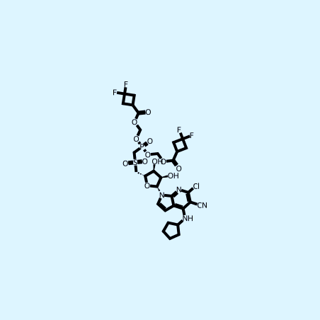 N#Cc1c(Cl)nc2c(ccn2[C@@H]2O[C@H](CS(=O)(=O)CP(=O)(OCOC(=O)C3CC(F)(F)C3)OCOC(=O)C3CC(F)(F)C3)[C@@H](O)[C@H]2O)c1NC1CCCC1